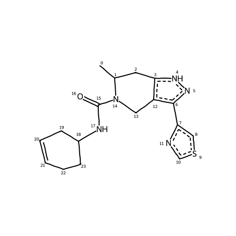 CC1Cc2[nH]nc(-c3cscn3)c2CN1C(=O)NC1CC=CCC1